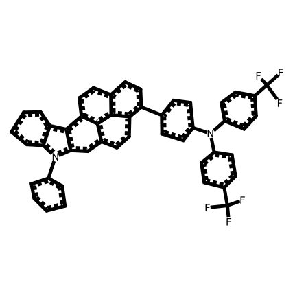 FC(F)(F)c1ccc(N(c2ccc(-c3ccc4ccc5c6c(ccc3c46)cc3c5c4ccccc4n3-c3ccccc3)cc2)c2ccc(C(F)(F)F)cc2)cc1